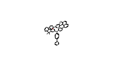 CC1(C)c2ccccc2-c2ccc(N(c3ccc(-c4ccccc4)cc3)c3ccc(-c4cccc5ccc6oc7cc(-c8ccccc8)ccc7c6c45)cc3)cc21